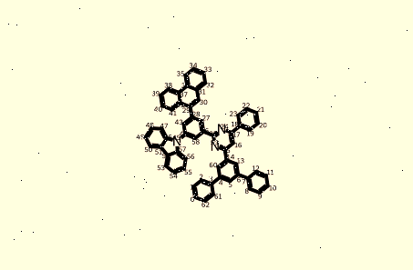 c1ccc(-c2cc(-c3ccccc3)cc(-c3cc(-c4ccccc4)nc(-c4cc(-c5cc6ccccc6c6ccccc56)cc(-n5c6ccccc6c6ccccc65)c4)n3)c2)cc1